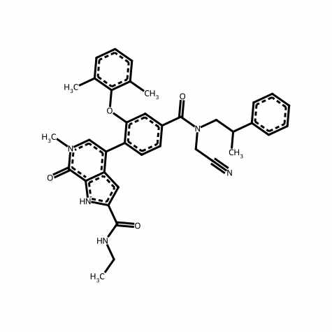 CCNC(=O)c1cc2c(-c3ccc(C(=O)N(CC#N)CC(C)c4ccccc4)cc3Oc3c(C)cccc3C)cn(C)c(=O)c2[nH]1